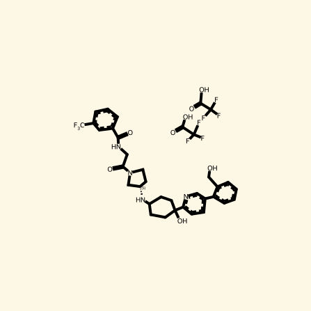 O=C(NCC(=O)N1CC[C@H](NC2CCC(O)(c3ccc(-c4ccccc4CO)cn3)CC2)C1)c1cccc(C(F)(F)F)c1.O=C(O)C(F)(F)F.O=C(O)C(F)(F)F